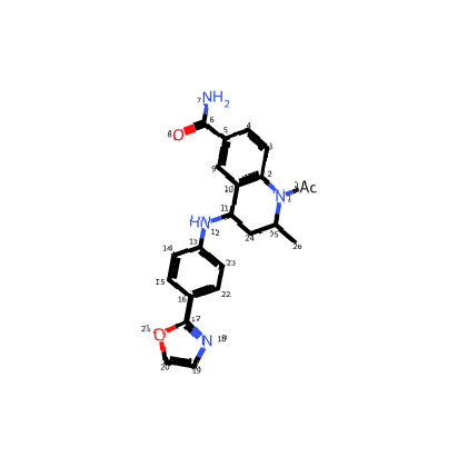 CC(=O)N1c2ccc(C(N)=O)cc2C(Nc2ccc(-c3ncco3)cc2)CC1C